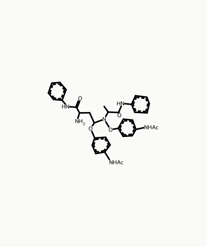 CC(=O)Nc1ccc(OC(CC(N)C(=O)Nc2ccccc2)N(Oc2ccc(NC(C)=O)cc2)C(C)C(=O)Nc2ccccc2)cc1